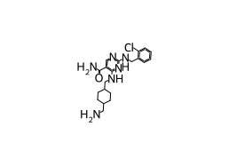 NCC1CCC(CNc2nc(NCc3ccccc3Cl)ncc2C(N)=O)CC1